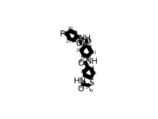 C[C@H]1Sc2ccc(C(=O)Nc3ccc(S(=O)(=O)Nc4ccc(F)cc4)cc3)cc2NC1=O